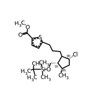 COC(=O)c1ccc(CCCC2[C@H](Cl)C[C@@H](C)[C@@H]2CO[Si](C)(C)C(C)(C)C)s1